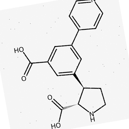 O=C(O)c1cc(-c2ccncc2)cc([C@H]2CCN[C@@H]2C(=O)O)c1